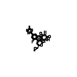 COC[C@@H]1CN2c3c(F)cc(-c4noc(C)n4)cc3CC3(C(=O)NC(=O)NC3=O)[C@H]2[C@H](C)O1